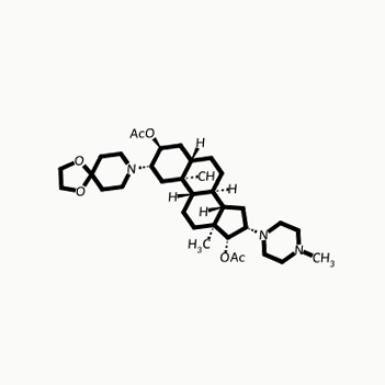 CC(=O)O[C@H]1C[C@@H]2CC[C@@H]3[C@H](CC[C@@]4(C)[C@H]3C[C@H](N3CCN(C)CC3)[C@@H]4OC(C)=O)[C@@]2(C)C[C@@H]1N1CCC2(CC1)OCCO2